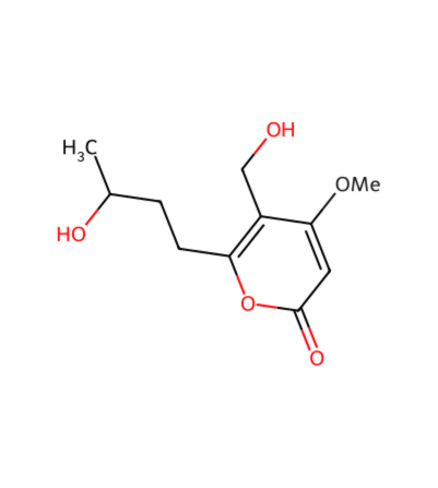 COc1cc(=O)oc(CCC(C)O)c1CO